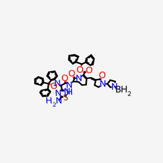 BN1CCC(N2CC/C(=C\C3=C(C(=O)OC(c4ccccc4)c4ccccc4)N4C(=O)C(NC(=O)/C(=N/OC(c5ccccc5)(c5ccccc5)c5ccccc5)c5nsc(N)n5)C4CC3)C2=O)C1